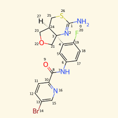 NC1=N[C@@]2(c3cc(NC(=O)c4ccc(Br)cn4)ccc3F)COC[C@H]2CS1